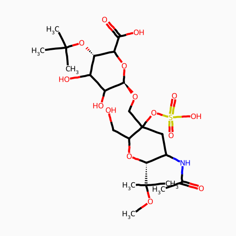 COC(C)(C)[C@@H]1OC(CO)C(CO[C@@H]2OC(C(=O)O)[C@@H](OC(C)(C)C)C(O)C2O)(OS(=O)(=O)O)CC1NC(C)=O